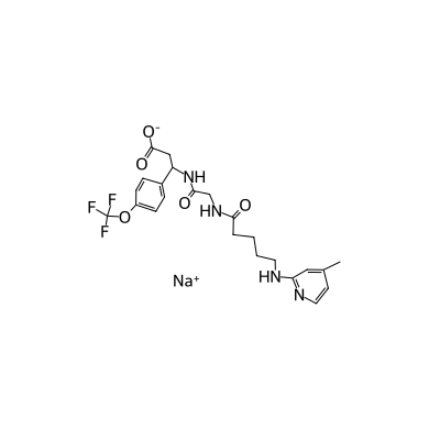 Cc1ccnc(NCCCCC(=O)NCC(=O)NC(CC(=O)[O-])c2ccc(OC(F)(F)F)cc2)c1.[Na+]